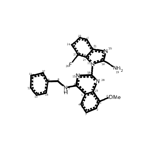 COc1cccc2c(NCc3ccccc3)nc(-n3c(N)nc4cccc(F)c43)nc12